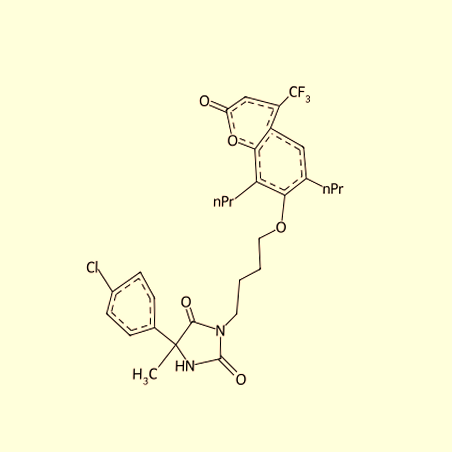 CCCc1cc2c(C(F)(F)F)cc(=O)oc2c(CCC)c1OCCCCN1C(=O)NC(C)(c2ccc(Cl)cc2)C1=O